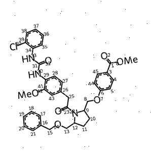 COC(=O)c1ccc(OCC2CCC(COCc3ccccc3)N2C(=O)Cc2ccc(NC(=O)Nc3ccccc3Cl)c(OC)c2)cc1